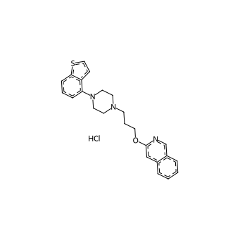 Cl.c1ccc2cc(OCCCN3CCN(c4cccc5sccc45)CC3)ncc2c1